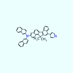 CC1(C)c2cc(-c3ccncc3)c3ccccc3c2-c2ccc3cc(N(c4ccc5ccccc5c4)c4ccc5ccccc5c4)ccc3c21